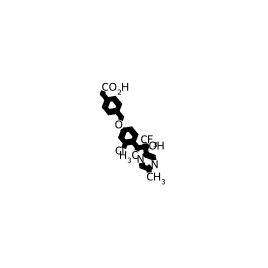 Cc1cnc(C(O)(C(C)c2ccc(OCc3ccc(CC(=O)O)cc3)cc2Cl)C(F)(F)F)cn1